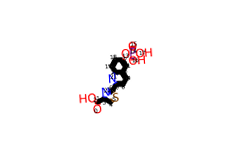 O=C(O)C1CSC(c2ccc3cc(OP(=O)(O)O)ccc3n2)=N1